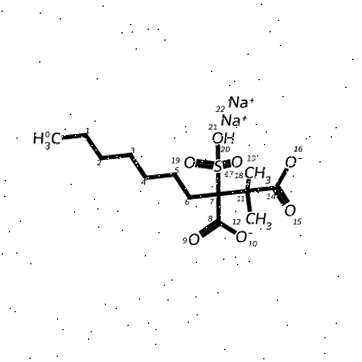 CCCCCCCC(C(=O)[O-])(C(C)(C)C(=O)[O-])S(=O)(=O)O.[Na+].[Na+]